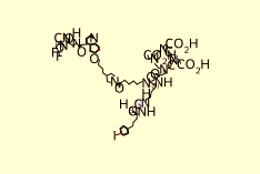 C/C(=N\CCCC[C@H](NC(=O)CN1CCN(CC(=O)O)CCN(CC(=O)O)CCN(CC(=O)O)CC1)C(=O)NCCCCCC(=O)N1CCC(CCCCOc2ccc3nccc(C(=O)NCC(=O)N4CC(F)(F)C[C@@H]4C#N)c3c2)CC1)NC(=O)CCCc1ccc(I)cc1